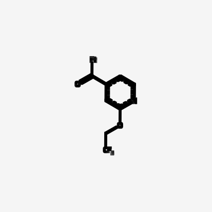 CCC(=O)c1ccnc(OCC(F)(F)F)c1